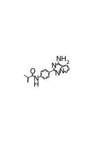 C=C(C)C(=O)Nc1ccc(-c2nc(N)c3cccn3n2)cc1